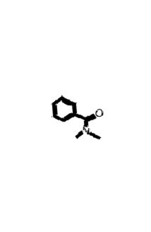 CN(C)C(=O)c1c[c][c][c]c1